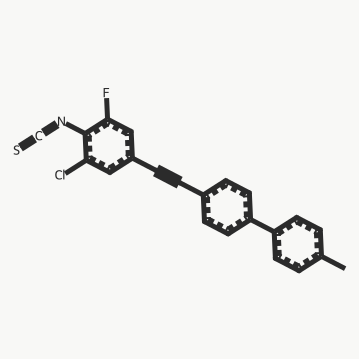 Cc1ccc(-c2ccc(C#Cc3cc(F)c(N=C=S)c(Cl)c3)cc2)cc1